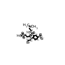 CN(C)CCNS(=O)(=O)c1cc([N+](=O)[O-])ccc1N(CCBr)CCCS(=O)(=O)O